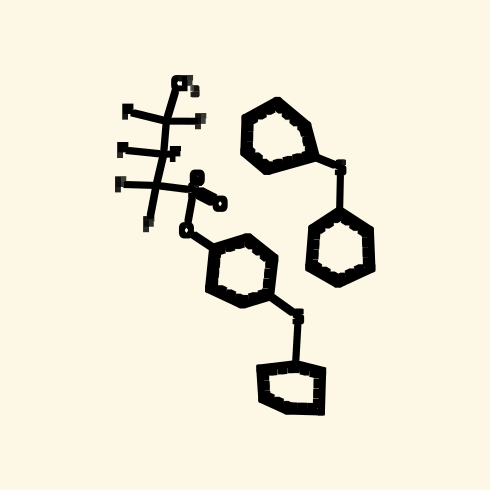 O=S(=O)(Oc1ccc(Sc2ccccc2)cc1)C(F)(F)C(F)(F)C(F)(F)C(F)(F)F.c1ccc(Sc2ccccc2)cc1